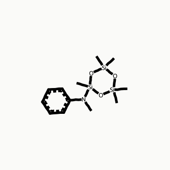 CN(c1ccccc1)[Si]1(C)O[Si](C)(C)O[Si](C)(C)O1